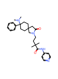 CN(C)C1(c2ccccc2)CCC2(CC1)CC(=O)N(CCC(C)(C)C(=O)Nc1ccncc1)C2